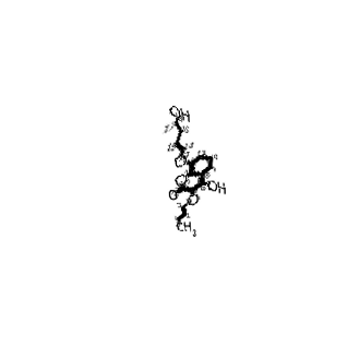 CC/C=C/Oc1c(O)c2cccc(OCCCCO)c2oc1=O